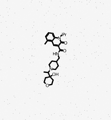 Cc1cccc2c1cc(C(=O)NCC1CCN(C(C)C3(O)CCOCC3)CC1)c(=O)n2C(C)C